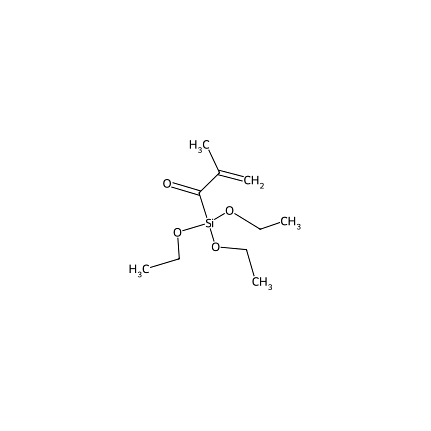 C=C(C)C(=O)[Si](OCC)(OCC)OCC